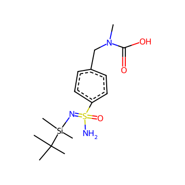 CN(Cc1ccc(S(N)(=O)=N[Si](C)(C)C(C)(C)C)cc1)C(=O)O